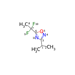 CC(C)c1noc(C(C)(F)F)n1